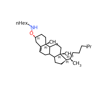 CCCCCCNO[C@H]1CC[C@@]2(C)C(=CCC3C2CC[C@@]2(C)C3CC[C@@H]2[C@H](C)CCCC(C)C)C1